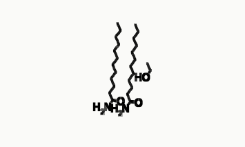 CCCCCCCCCCCC(N)=O.CCCCCCCCCCCC(N)=O.CCO